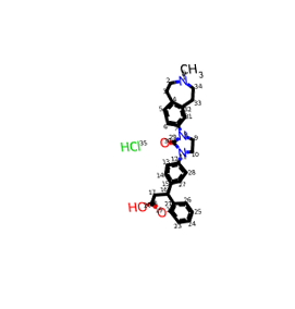 CN1CCc2ccc(N3CCN(c4ccc(C(CC(=O)O)c5ccccc5)cc4)C3=O)cc2CC1.Cl